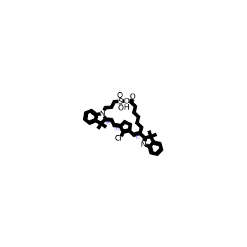 CC1(C)C(/C(=C/C2=C(Cl)C(=C/C=C3/N(CCCS(=O)(=O)O)c4ccccc4C3(C)C)/CC2)CCCCCC=O)=Nc2ccccc21